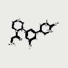 C=CC(=O)N1CCOC[C@H]1c1cc(Cl)cc(C2CNC(=O)NC2)c1